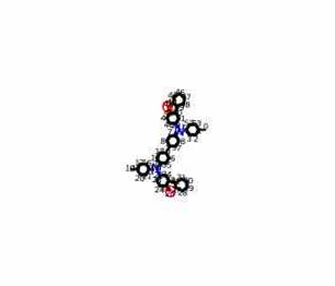 Cc1ccc(N(c2ccc(-c3ccc(N(c4ccc(C)cc4)c4ccc5oc6ccccc6c5c4)cc3)cc2)c2ccc3oc4ccccc4c3c2)cc1